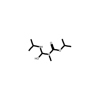 CC(C)NC(O)N(C)C(=O)OC(C)C